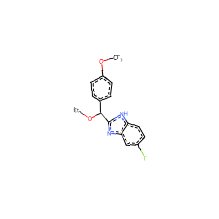 CCOC(c1ccc(OC(F)(F)F)cc1)c1nc2cc(F)ccc2[nH]1